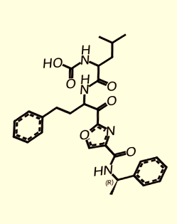 CC(C)CC(NC(=O)O)C(=O)NC(CCc1ccccc1)C(=O)c1nc(C(=O)N[C@H](C)c2ccccc2)co1